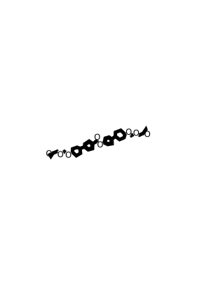 O=C(Oc1ccc(C2CCC(OCOCC3CO3)CC2)cc1)c1ccc(C2CCC(OCOCC3CO3)CC2)cc1